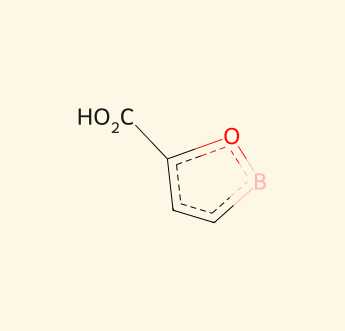 O=C(O)c1ccbo1